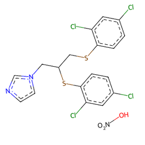 Clc1ccc(SCC(Cn2ccnc2)Sc2ccc(Cl)cc2Cl)c(Cl)c1.O=[N+]([O-])O